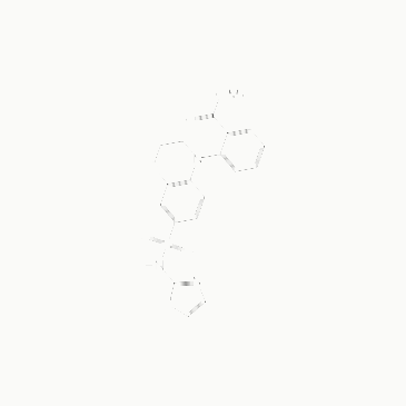 COC(=O)c1ccccc1N1CCOc2cc(S(=O)(=O)Nc3nccs3)ccc21